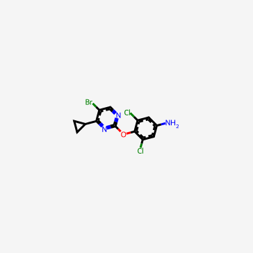 Nc1cc(Cl)c(Oc2ncc(Br)c(C3CC3)n2)c(Cl)c1